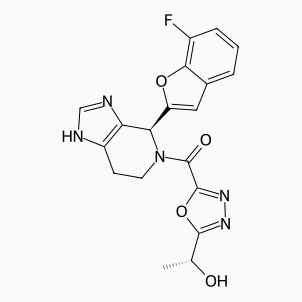 C[C@@H](O)c1nnc(C(=O)N2CCc3[nH]cnc3[C@H]2c2cc3cccc(F)c3o2)o1